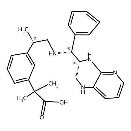 C[C@H](CN[C@H](c1ccccc1)[C@H]1CNc2cccnc2N1)c1cccc(C(C)(C)C(=O)O)c1